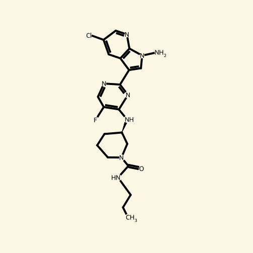 CCCNC(=O)N1CCC[C@@H](Nc2nc(-c3cn(N)c4ncc(Cl)cc34)ncc2F)C1